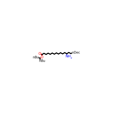 CCCCCCCCCCCCC(N)CCCCCCCCCCCC(=O)OC(CCCC)CCCC